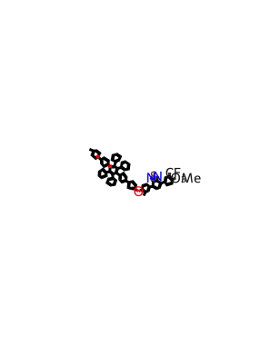 COc1ccc(-c2ccc(-c3ccc(Oc4ccc(-c5ccc(-c6c(-c7ccccc7)c(-c7ccccc7)c(-c7ccc(-c8ccc(C)cc8)cc7)c(-c7ccccc7)c6-c6ccccc6)cc5)cc4)c(C)c3)c3nsnc23)cc1C(F)(F)F